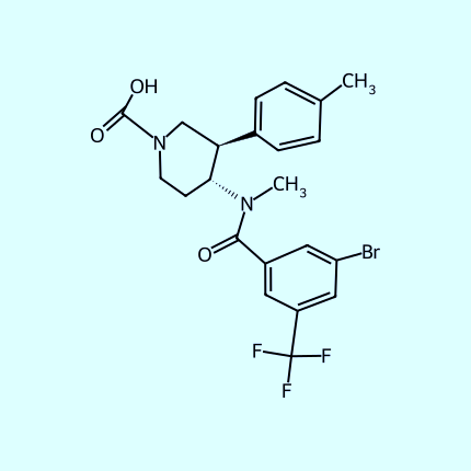 Cc1ccc([C@@H]2CN(C(=O)O)CC[C@H]2N(C)C(=O)c2cc(Br)cc(C(F)(F)F)c2)cc1